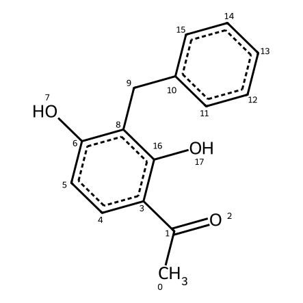 CC(=O)c1ccc(O)c(Cc2ccccc2)c1O